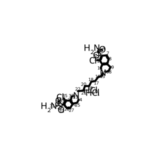 Cl.Cl.NS(=O)(=O)c1ccc2c(c1Cl)CN(CCCCCCCCN1CCc3ccc(S(N)(=O)=O)c(Cl)c3C1)CC2